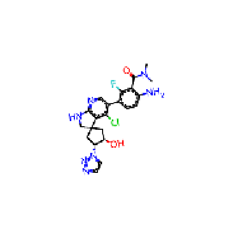 CN(C)C(=O)c1c(N)ccc(-c2cnc3c(c2Cl)[C@]2(CN3)C[C@@H](O)[C@H](n3ccnn3)C2)c1F